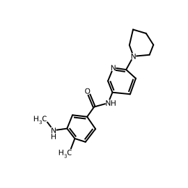 CNc1cc(C(=O)Nc2ccc(N3CCCCC3)nc2)ccc1C